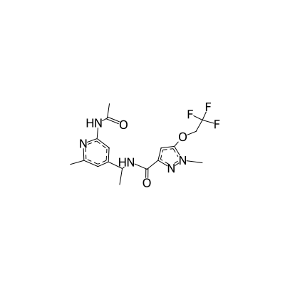 CC(=O)Nc1cc(C(C)NC(=O)c2cc(OCC(F)(F)F)n(C)n2)cc(C)n1